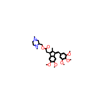 COc1cc2c(cc1OC)/C(=C\c1cc(OC)c(OC)c(OC)c1)C(C)=C2CC(=O)OCC1CN(C)CCN1C